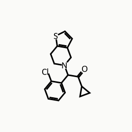 O=C(C1CC1)C(c1ccccc1Cl)N1CCc2sccc2C1